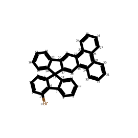 Brc1cccc2c1-c1ccccc1C21c2ccccc2-c2cc3c4ccccc4c4ccccc4c3cc21